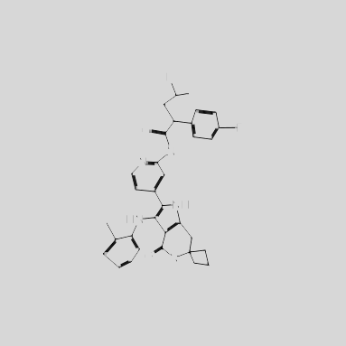 Cc1ccccc1Nc1c(-c2ccnc(NC(=O)C(CC(F)F)c3ccc(F)cc3)c2)[nH]c2c1C(=O)NC1(CCC1)C2